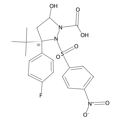 CC(C)(C)[C@]1(c2ccc(F)cc2)CC(O)N(C(=O)O)N1S(=O)(=O)c1ccc([N+](=O)[O-])cc1